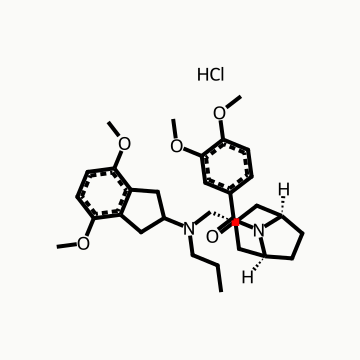 CCCN(C[C@@H]1C[C@H]2CC[C@@H](C1)N2C(=O)c1ccc(OC)c(OC)c1)C1Cc2c(OC)ccc(OC)c2C1.Cl